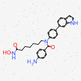 Nc1ccc(C(=O)N(CCCCCCC(=O)NO)c2ccc(-c3ccc4cc[nH]c4c3)cc2)cc1